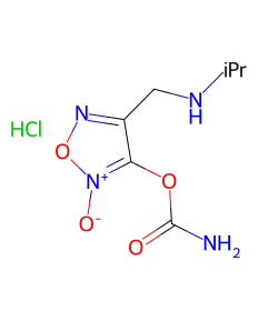 CC(C)NCc1no[n+]([O-])c1OC(N)=O.Cl